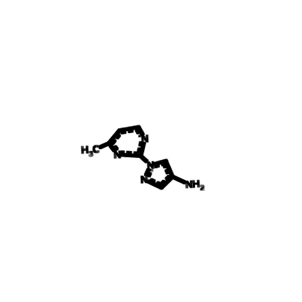 Cc1ccnc(-n2cc(N)cn2)n1